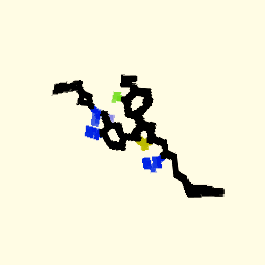 CNCCCC(N)Cc1cc(-c2ccc(C#N)c(F)c2)c(C2=C/C(=C/NC3CC(OC)C3)C(=N)C=C2)s1